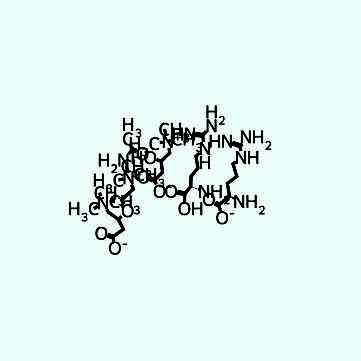 CC(N)=O.C[N+](C)(C)CC(O)CC(=O)[O-].C[N+](C)(C)CCOC(CC(=O)[O-])C[N+](C)(C)C.N=C(N)NCCC[C@H](N)C(=O)O.N=C(N)NCCC[C@H](N)C(=O)[O-]